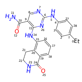 CCc1ccc(Nc2ncc(C(N)=O)c(Nc3cccc4c3CCNC4=O)n2)cc1